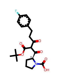 CC(C)(C)OC(=O)C(C(=O)CCc1ccc(F)cc1)C(=O)[C@@H]1CCCN1C(=O)O